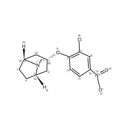 CN1[C@@H]2CC[C@H]1C[C@@H](Oc1ccc([N+](=O)[O-])cc1Cl)C2